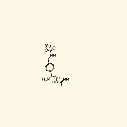 CC(=N)NNC(N)c1ccc(CNC(=O)OC(C)(C)C)cc1